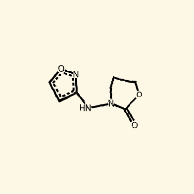 O=C1OCCN1Nc1ccon1